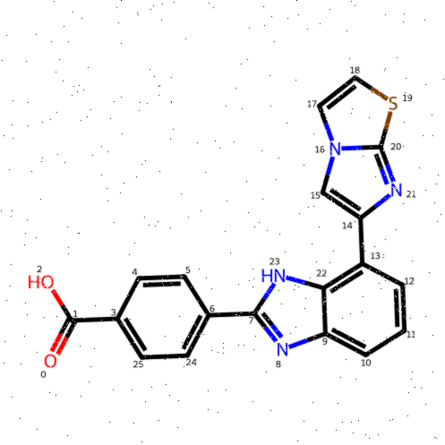 O=C(O)c1ccc(-c2nc3cccc(-c4cn5ccsc5n4)c3[nH]2)cc1